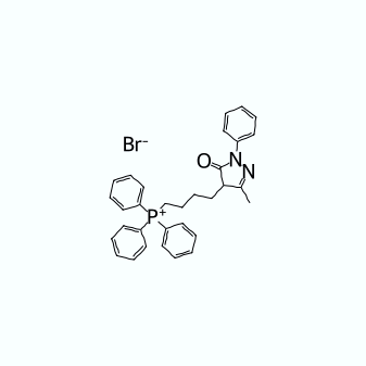 CC1=NN(c2ccccc2)C(=O)C1CCCC[P+](c1ccccc1)(c1ccccc1)c1ccccc1.[Br-]